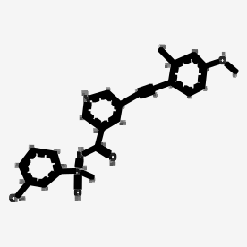 COc1ccc(C#Cc2cncc(C(=O)N=S(C)(=O)c3cccc(Cl)c3)c2)c(C)c1